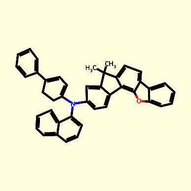 CC1(C)c2cc(N(C3=CC=C(c4ccccc4)CC3)c3cccc4ccccc34)ccc2-c2c1ccc1c2oc2ccccc21